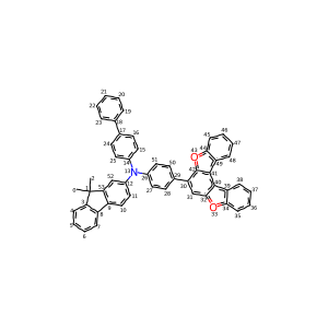 CC1(C)c2ccccc2-c2ccc(N(c3ccc(-c4ccccc4)cc3)c3ccc(-c4cc5oc6ccccc6c5c5c4oc4ccccc45)cc3)cc21